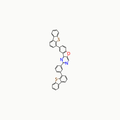 c1cc(-c2ncc3oc4ccc(-c5cccc6c5sc5ccccc56)cc4c3n2)cc(-c2cccc3c2sc2ccccc23)c1